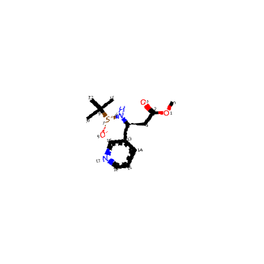 COC(=O)C[C@H](N[S@+]([O-])C(C)(C)C)c1cccnc1